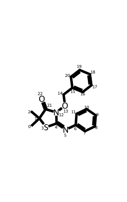 CC1(C)SC(=Nc2ccccc2)N(OCc2ccccc2)C1=O